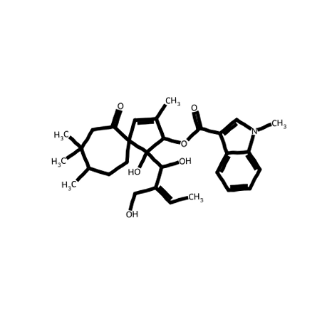 C/C=C(/CO)C(O)C1(O)C(OC(=O)c2cn(C)c3ccccc23)C(C)=CC12CCC(C)C(C)(C)CC2=O